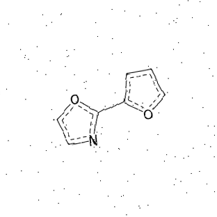 [c]1cnc(-c2ccco2)o1